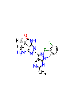 Cc1ncc2c(-c3nc(N)c4c(n3)NC(=O)C4(C)C)nn(Cc3cccc(F)c3F)c2n1